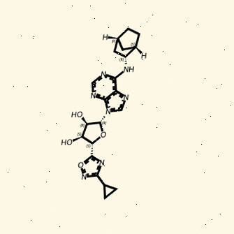 O[C@@H]1[C@H](O)[C@@H](c2nc(C3CC3)no2)O[C@H]1n1cnc2c(N[C@@H]3C[C@@H]4CC[C@H]3C4)ncnc21